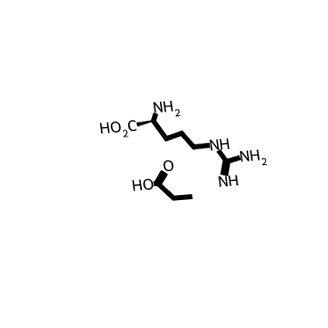 CCC(=O)O.N=C(N)NCCC[C@H](N)C(=O)O